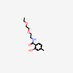 CCOCCOCCNC(=O)c1ccc(C)cc1O